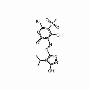 CC(C)n1c(O)nnc1N=Nc1c(O)c(S(C)(=O)=O)c(Br)oc1=O